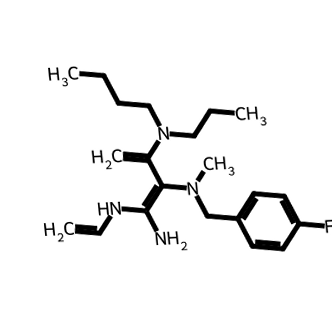 C=CN/C(N)=C(\C(=C)N(CCC)CCCC)N(C)Cc1ccc(F)cc1